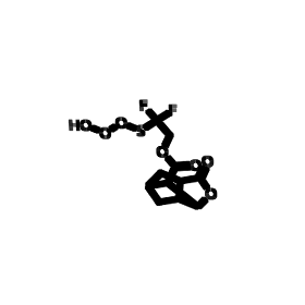 O=C1OC2C3CC(CC13)C2C(=O)OCC(F)(F)SOOO